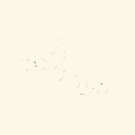 O=C(N[C@H](CN1CCCC1)[C@H](O)c1ccc2c(c1)OCCO2)C(=O)C1Cc2ccc(-c3ccccn3)cc2C1